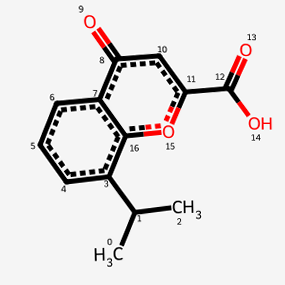 CC(C)c1cccc2c(=O)cc(C(=O)O)oc12